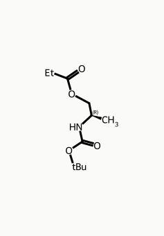 CCC(=O)OC[C@@H](C)NC(=O)OC(C)(C)C